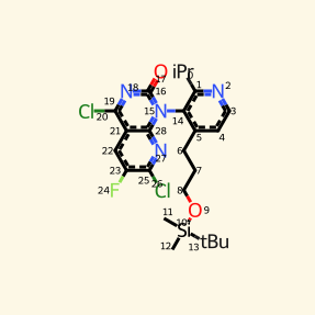 CC(C)c1nccc(CCCO[Si](C)(C)C(C)(C)C)c1-n1c(=O)nc(Cl)c2cc(F)c(Cl)nc21